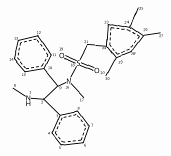 CNC(c1ccccc1)C(c1ccccc1)N(C)S(=O)(=O)Cc1cc(C)c(C)cc1C